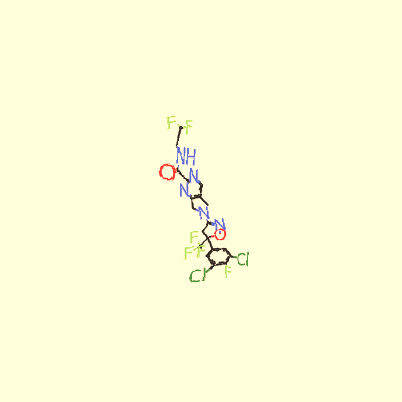 O=C(NCC(F)F)c1ncc2c(n1)CN(C1=NOC(c3cc(Cl)c(F)c(Cl)c3)(C(F)(F)F)C1)C2